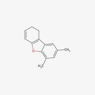 Cc1cc(C)c2oc3c(c2c1)CCC=C3